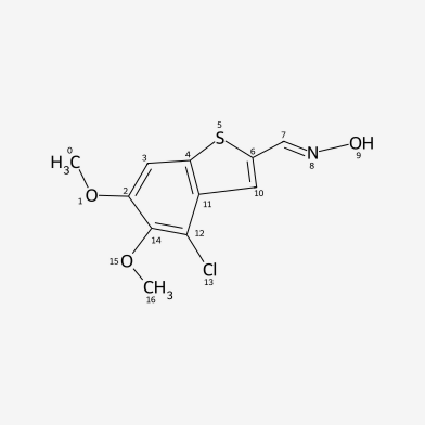 COc1cc2sc(C=NO)cc2c(Cl)c1OC